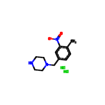 Cc1ccc(CN2CCNCC2)cc1[N+](=O)[O-].Cl.Cl